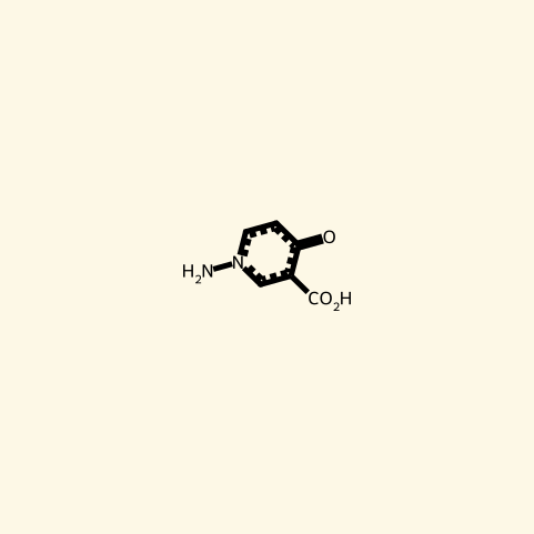 Nn1ccc(=O)c(C(=O)O)c1